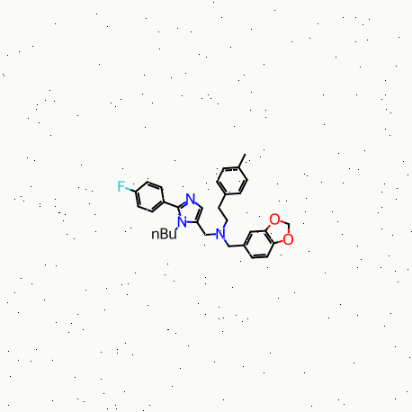 CCCCn1c(CN(CCc2ccc(C)cc2)Cc2ccc3c(c2)OCO3)cnc1-c1ccc(F)cc1